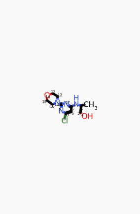 CC(CO)Nc1cc(Cl)nc(N2CCOCC2)n1